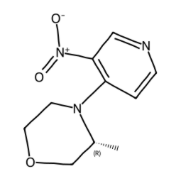 C[C@@H]1COCCN1c1ccncc1[N+](=O)[O-]